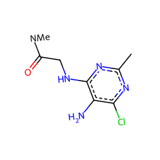 CNC(=O)CNc1nc(C)nc(Cl)c1N